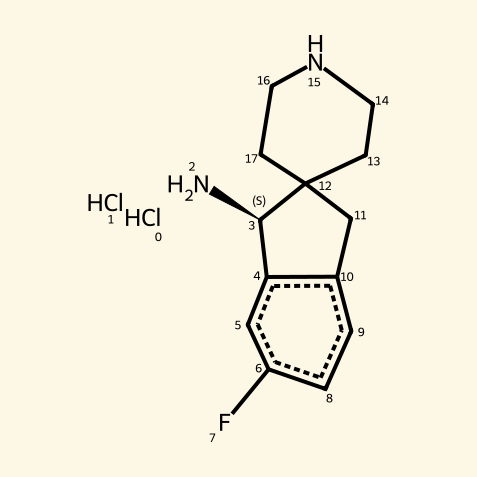 Cl.Cl.N[C@@H]1c2cc(F)ccc2CC12CCNCC2